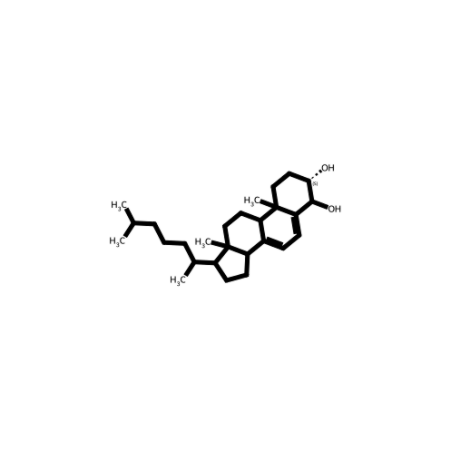 CC(C)CCCC(C)C1CCC2C3=CC=C4C(O)[C@@H](O)CCC4(C)C3CCC21C